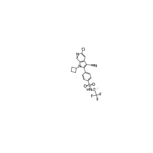 C[C@@H](NS(=O)(=O)c1ccc(-c2c(C#N)c3cc(Cl)ncc3n2C2CCC2)cc1)C(F)(F)F